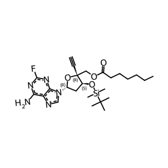 C#C[C@]1(COC(=O)CCCCCC)O[C@@H](n2cnc3c(N)nc(F)nc32)C[C@@H]1O[Si](C)(C)C(C)(C)C